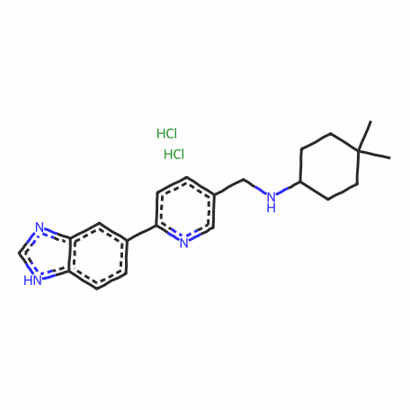 CC1(C)CCC(NCc2ccc(-c3ccc4[nH]cnc4c3)nc2)CC1.Cl.Cl